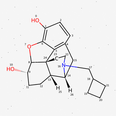 Oc1ccc2c3c1OC1[C@@H](O)CC[C@H]4[C@@H](C2)N(CC2CCC2)CC[C@]314